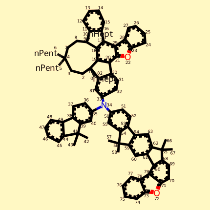 CCCCCCCC12CCC(CCCCC)(CCCCC)CCC3(CCCCCCC)c4ccccc4-c4c3c1c(c1oc3ccccc3c41)-c1ccc(N(c3ccc4c(c3)C(C)(C)c3ccccc3-4)c3ccc4c(c3)C(C)(C)c3cc5c(cc3-4)C(C)(C)c3ccc4oc6ccccc6c4c3-5)cc12